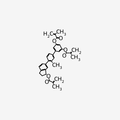 C=C(C)C(=O)Oc1cc(OC(=O)C(=C)C)cc(-c2ccc(-c3ccc4c(c3)C(OC(=O)C(=C)C)CC4)c(C)c2)c1